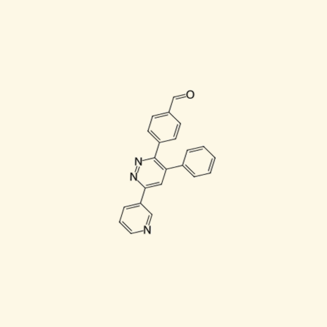 O=Cc1ccc(-c2nnc(-c3cccnc3)cc2-c2ccccc2)cc1